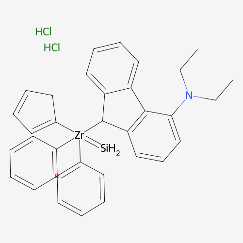 CCN(CC)c1cccc2c1-c1ccccc1[CH]2[Zr](=[SiH2])([C]1=CC=CC1)([c]1ccccc1)[c]1ccccc1.Cl.Cl